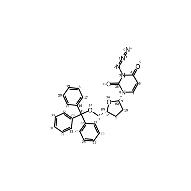 [N-]=[N+]=Nn1c(=O)ccn([C@@H]2CC[C@H](COC(c3ccccc3)(c3ccccc3)c3ccccc3)O2)c1=O